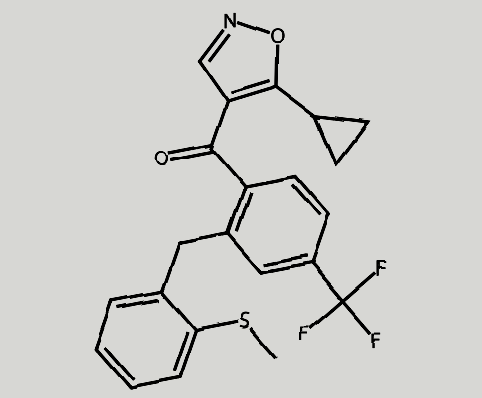 CSc1ccccc1Cc1cc(C(F)(F)F)ccc1C(=O)c1cnoc1C1CC1